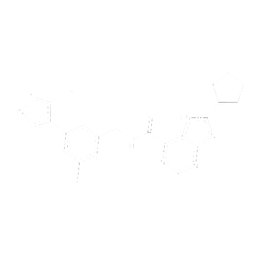 Cc1n[nH]cc1-c1cc(F)cc(CNC(=O)c2ncnc3nc(C4CCCC4)[nH]c23)c1